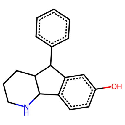 Oc1ccc2c(c1)C(c1ccccc1)C1CCCNC21